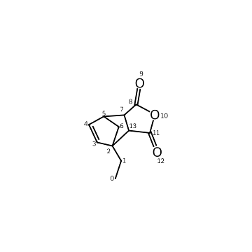 CCC12C=CC(C1)C1C(=O)OC(=O)C12